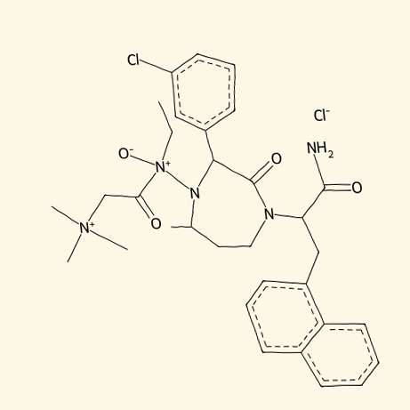 CC[N+]([O-])(C(=O)C[N+](C)(C)C)N1C(C)CCN(C(Cc2cccc3ccccc23)C(N)=O)C(=O)C1c1cccc(Cl)c1.[Cl-]